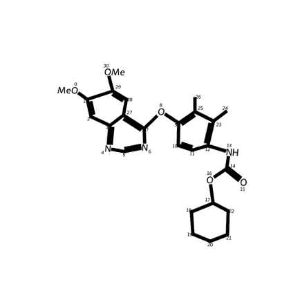 COc1cc2ncnc(Oc3ccc(NC(=O)OC4CCCCC4)c(C)c3C)c2cc1OC